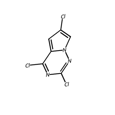 Clc1cc2c(Cl)nc(Cl)nn2c1